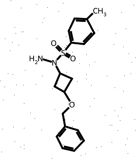 Cc1ccc(S(=O)(=O)N(N)C2CC(OCc3ccccc3)C2)cc1